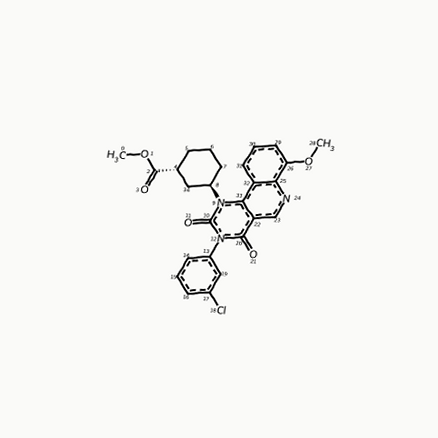 COC(=O)[C@@H]1CCC[C@@H](n2c(=O)n(-c3cccc(Cl)c3)c(=O)c3cnc4c(OC)cccc4c32)C1